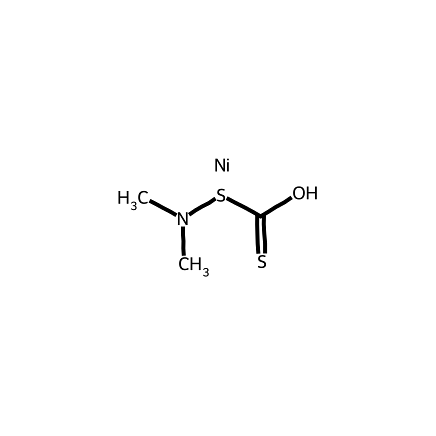 CN(C)SC(O)=S.[Ni]